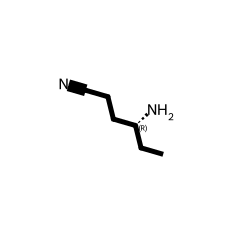 CC[C@@H](N)CCC#N